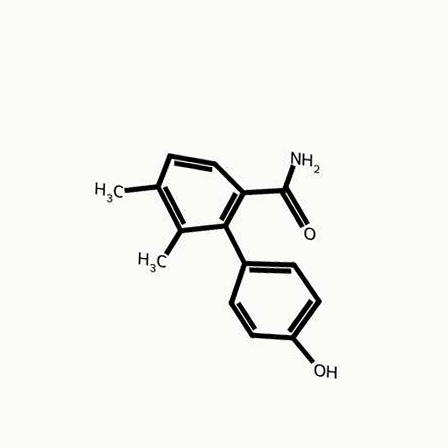 Cc1ccc(C(N)=O)c(-c2ccc(O)cc2)c1C